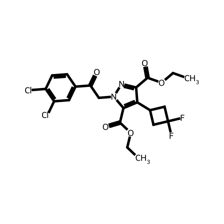 CCOC(=O)c1nn(CC(=O)c2ccc(Cl)c(Cl)c2)c(C(=O)OCC)c1C1CC(F)(F)C1